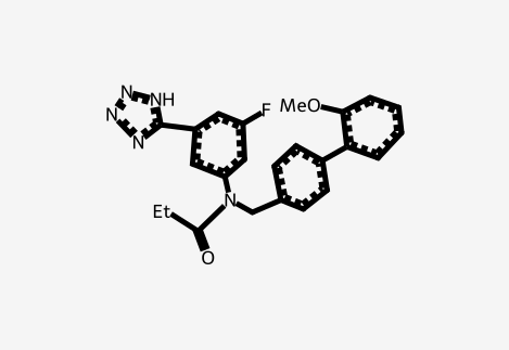 CCC(=O)N(Cc1ccc(-c2ccccc2OC)cc1)c1cc(F)cc(-c2nnn[nH]2)c1